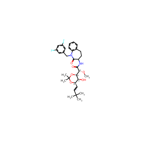 CO[C@@H](C(=O)NC1CCc2ccccc2N(Cc2cc(F)cc(F)c2)C1=O)[C@@H]1OC(C)(C)O[C@H](/C=C/C(C)(C)C)[C@@H]1O